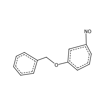 O=Nc1cccc(OCc2ccccc2)c1